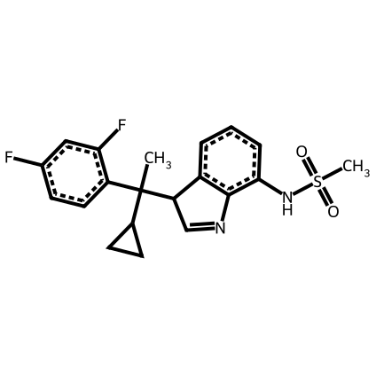 CC(c1ccc(F)cc1F)(C1CC1)C1C=Nc2c(NS(C)(=O)=O)cccc21